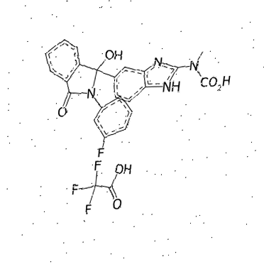 CN(C(=O)O)c1nc2cc(C3(O)c4ccccc4C(=O)N3c3cccc(F)c3)ccc2[nH]1.O=C(O)C(F)(F)F